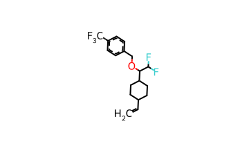 C=CC1CCC(C(OCc2ccc(C(F)(F)F)cc2)C(F)F)CC1